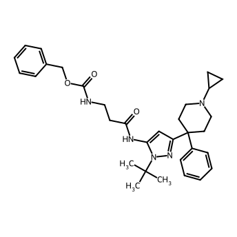 CC(C)(C)n1nc(C2(c3ccccc3)CCN(C3CC3)CC2)cc1NC(=O)CCNC(=O)OCc1ccccc1